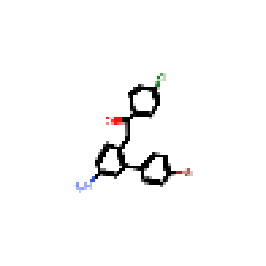 Nc1c[c]c(CC(=O)c2ccc(Cl)cc2)c(-c2ccc(Br)cc2)c1